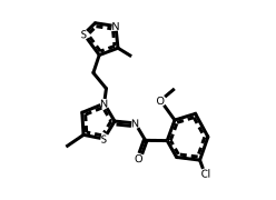 COc1ccc(Cl)cc1C(=O)N=c1sc(C)cn1CCc1scnc1C